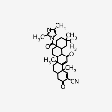 Cc1cn(C(=O)C23CCC4C(C(=O)C=C5C6(C)C=C(C#N)C(=O)CC6CCC54C)C2CC(C)(C)CC3)c(C)n1